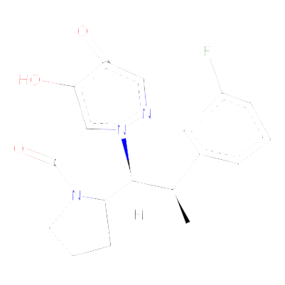 C[C@H](c1cccc(F)c1)[C@H]1[C@H]2CCCN2C(=O)c2c(O)c(=O)cnn21